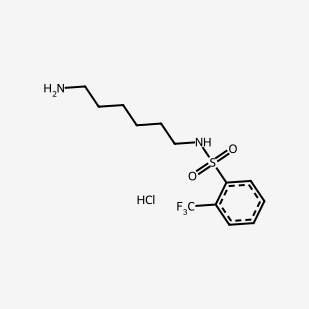 Cl.NCCCCCCNS(=O)(=O)c1ccccc1C(F)(F)F